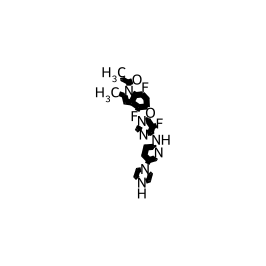 CCC(=O)n1c(C)cc2c(F)c(Oc3ncnc(Nc4ccc(N5CCNCC5)cn4)c3F)cc(F)c21